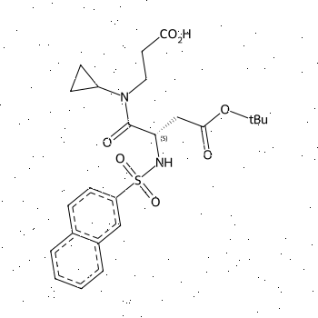 CC(C)(C)OC(=O)C[C@H](NS(=O)(=O)c1ccc2ccccc2c1)C(=O)N(CCC(=O)O)C1CC1